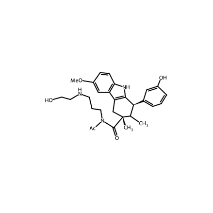 COc1ccc2[nH]c3c(c2c1)C[C@@](C)(C(=O)N(CCCNCCO)C(C)=O)C(C)[C@@H]3c1cccc(O)c1